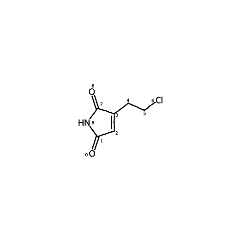 O=C1C=C(CCCl)C(=O)N1